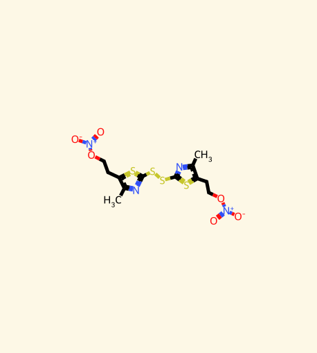 Cc1nc(SSc2nc(C)c(CCO[N+](=O)[O-])s2)sc1CCO[N+](=O)[O-]